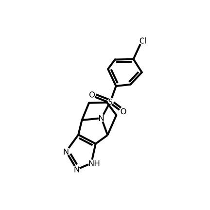 O=S(=O)(c1ccc(Cl)cc1)N1C2CCCC1c1[nH]nnc12